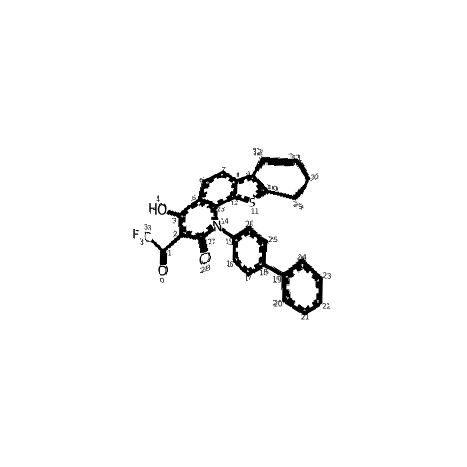 O=C(c1c(O)c2ccc3c4c(sc3c2n(-c2ccc(-c3ccccc3)cc2)c1=O)CCC=C4)C(F)(F)F